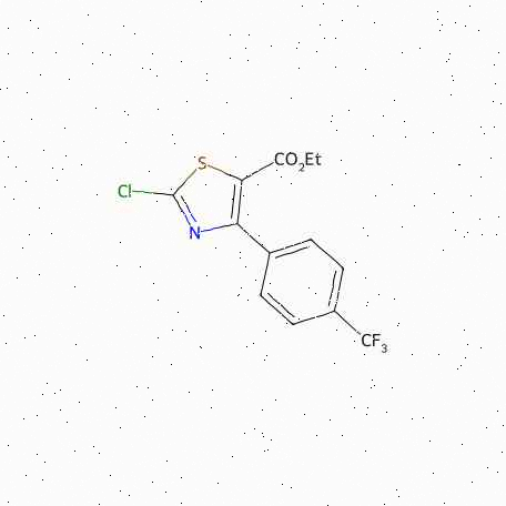 CCOC(=O)c1sc(Cl)nc1-c1ccc(C(F)(F)F)cc1